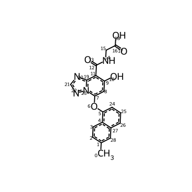 Cc1ccc2c(Oc3cc(O)c(C(=O)NCC(=O)O)c4ncnn34)cccc2c1